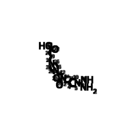 C[N+]1(CC2CCN(C(=N)N)CC2)CC(N2CCN(CCCC(=O)O)CC2)OC1=O